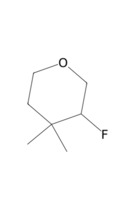 CC1(C)CCOCC1F